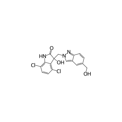 O=C1Nc2c(Cl)ccc(Cl)c2C1(O)Cn1cc2cc(CO)ccc2n1